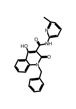 Cc1cccc(NC(=O)c2c(O)c3ccccc3n(Cc3ccccc3)c2=O)n1